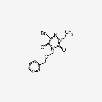 O=c1c(Br)nn(CC(F)(F)F)c(=O)n1COCc1ccccc1